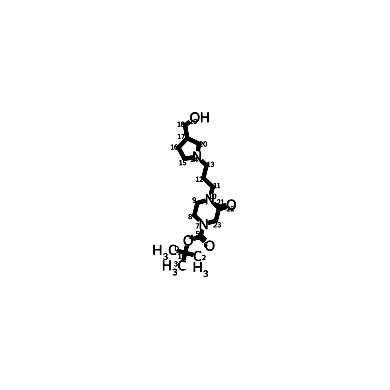 CC(C)(C)OC(=O)N1CCN(CCCN2CCC(CO)C2)C(=O)C1